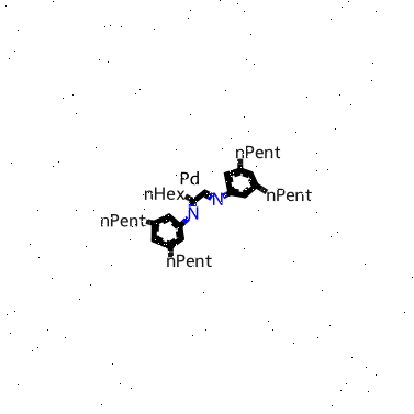 CCCCCCC(C=Nc1cc(CCCCC)cc(CCCCC)c1)=Nc1cc(CCCCC)cc(CCCCC)c1.[Pd]